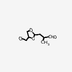 CC(C=O)CC1OCC(CCl)O1